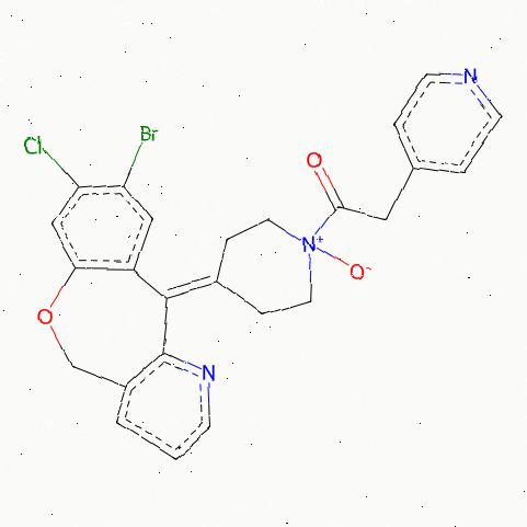 O=C(Cc1ccncc1)[N+]1([O-])CCC(=C2c3cc(Br)c(Cl)cc3OCc3cccnc32)CC1